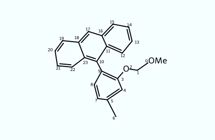 COCOc1cc(C)ccc1-c1c2ccccc2cc2ccccc12